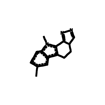 Cc1ccc2c(c1)c1c(n2C)C2=NN=CC2CC1